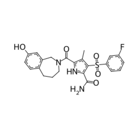 Cc1c(C(=O)N2CCCc3ccc(O)cc3C2)[nH]c(C(N)=O)c1S(=O)(=O)c1cccc(F)c1